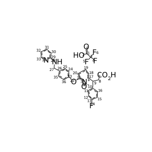 O=C(O)C(F)(F)F.O=C(O)CC(c1ccc(F)cc1)c1cccc(Oc2ccc(CNc3ccccn3)cc2)[n+]1[O-]